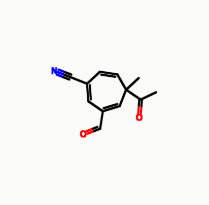 CC(=O)C1(C)C=CC(C#N)=CC(C=O)=C1